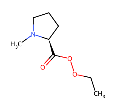 CCOOC(=O)[C@@H]1CCCN1C